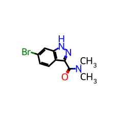 CN(C)C(=O)c1n[nH]c2cc(Br)ccc12